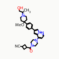 COC1(c2ccc(-c3cc4c(N5CCN(C(=O)C6CC(C#N)C6)CC5)ccnn4c3)cc2)CCN([C@H](C)CO)CC1